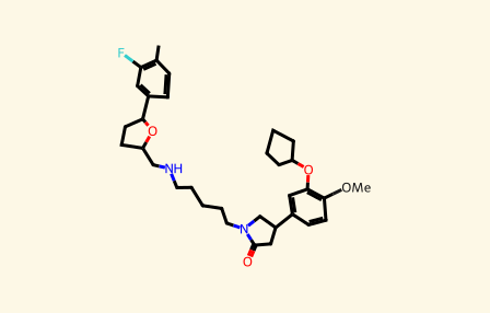 COc1ccc(C2CC(=O)N(CCCCCNCC3CCC(c4ccc(C)c(F)c4)O3)C2)cc1OC1CCCC1